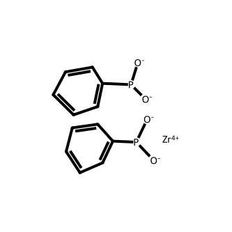 [O-]P([O-])c1ccccc1.[O-]P([O-])c1ccccc1.[Zr+4]